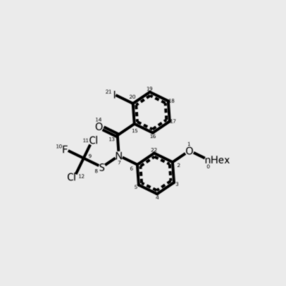 CCCCCCOc1cccc(N(SC(F)(Cl)Cl)C(=O)c2ccccc2I)c1